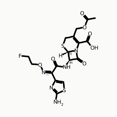 CC(=O)OCC1=C(C(=O)O)N2C(=O)[C@@H](NC(=O)/C(=N\OCCF)c3csc(N)n3)[C@@H]2SC1